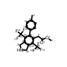 COC(=O)Cc1c(-c2ccc(C)cc2)c(C(F)(F)F)c2c(c1C(F)(F)F)CNC2